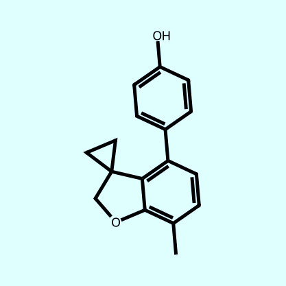 Cc1ccc(-c2ccc(O)cc2)c2c1OCC21CC1